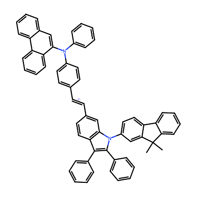 CC1(C)c2ccccc2-c2ccc(-n3c(-c4ccccc4)c(-c4ccccc4)c4ccc(/C=C/c5ccc(N(c6ccccc6)c6cc7ccccc7c7ccccc67)cc5)cc43)cc21